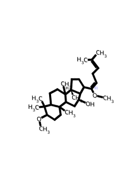 CO/C(=C/CC=C(C)C)C1CC[C@]2(C)C1C(O)CC1C3(C)CCC(OC)C(C)(C)C3CCC12C